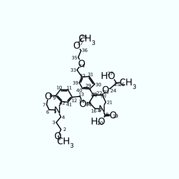 COCCCN1CCOc2ccc(CO[C@H]3CN(C(=O)O)C[C@@H](OCC(C)O)[C@@H]3c3ccc(COCCOC)cc3)cc21